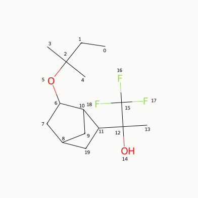 CCC(C)(C)OC1CC2CC1C(C(C)(O)C(F)(F)F)C2